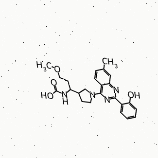 COCCC(NC(=O)O)C1CCN(c2nc(-c3ccccc3O)nc3cc(C)ccc23)C1